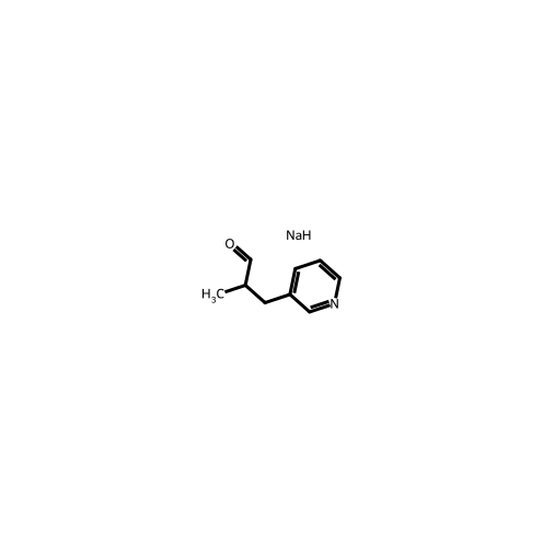 CC(C=O)Cc1cccnc1.[NaH]